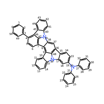 c1ccc(-c2ccc3c4c5c6ccccc6n6c7cc(N(c8ccccc8)c8ccccc8)ccc7c(cc4n4c7ccccc7c2c34)c56)cc1